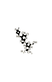 CC1(C)O[C@@H]2[C@H](O1)[C@@H](CO)O[C@H]2n1cnc2c(NC3CC(F)(F)C3)c(C#N)c(Cl)nc21